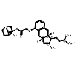 CCCCC[C@@H](CC[C@@H]1[C@H]2Cc3cccc(OCC(=O)O[C@@H]4CN5CCC4CC5)c3C[C@H]2C[C@H]1OC(C)=O)OC(C)=O